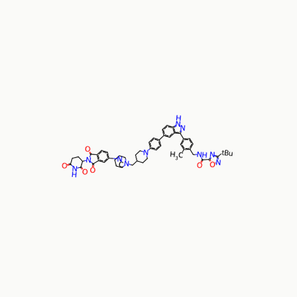 Cc1cc(-c2n[nH]c3ccc(-c4ccc(N5CCC(CN6CC7CCC6CN7c6ccc7c(c6)C(=O)N(C6CCC(=O)NC6=O)C7=O)CC5)cc4)cc23)ccc1CNC(=O)c1nc(C(C)(C)C)no1